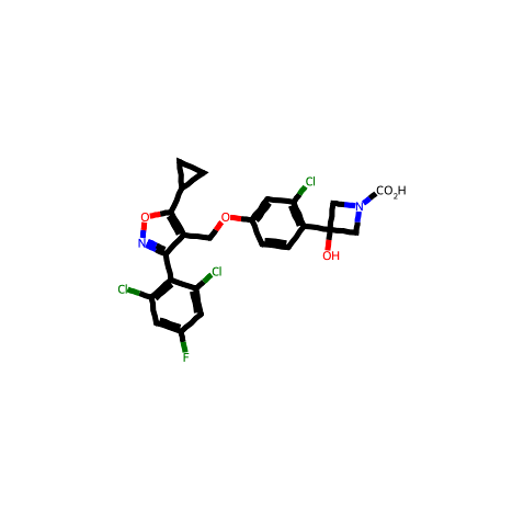 O=C(O)N1CC(O)(c2ccc(OCc3c(-c4c(Cl)cc(F)cc4Cl)noc3C3CC3)cc2Cl)C1